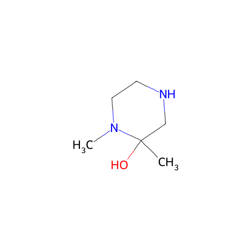 CN1CCNCC1(C)O